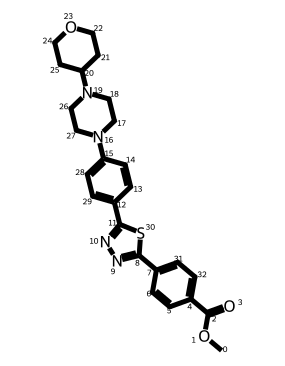 COC(=O)c1ccc(-c2nnc(-c3ccc(N4CCN(C5CCOCC5)CC4)cc3)s2)cc1